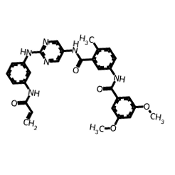 C=CC(=O)Nc1cccc(Nc2ncc(NC(=O)c3cc(NC(=O)c4cc(OC)cc(OC)c4)ccc3C)cn2)c1